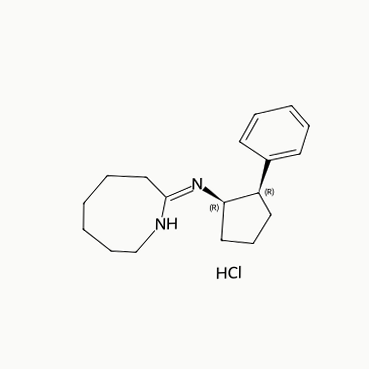 Cl.c1ccc([C@H]2CCC[C@H]2N=C2CCCCCCN2)cc1